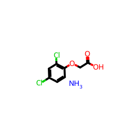 N.O=C(O)COc1ccc(Cl)cc1Cl